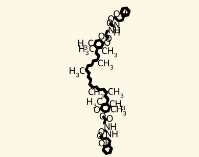 CC(C=CC=C(C)C=CC1=C(C)C(=O)C(OC(=O)CNC(=O)NC(Cc2ccccc2)C(=O)O)CC1(C)C)=CC=CC=C(C)C=CC=C(C)C=CC1=C(C)C(=O)C(OC(=O)CNC(=O)NC(Cc2ccccc2)C(=O)O)CC1(C)C